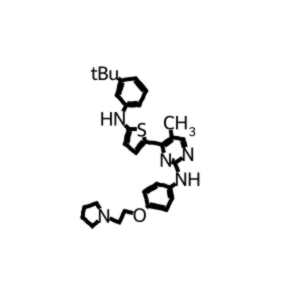 Cc1cnc(Nc2ccc(OCCN3CCCC3)cc2)nc1-c1ccc(Nc2cccc(C(C)(C)C)c2)s1